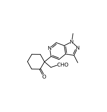 Cc1nn(C)c2cnc(C3(CC=O)CCCCC3=O)cc12